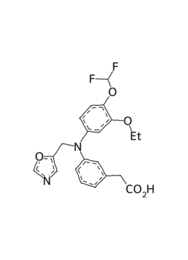 CCOc1cc(N(Cc2cnco2)c2cccc(CC(=O)O)c2)ccc1OC(F)F